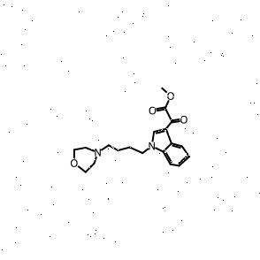 COC(=O)C(=O)c1cn(CCCCN2CCOCC2)c2ccccc12